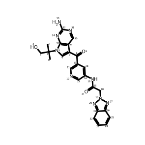 CC(C)(CO)n1cc(C(=O)c2cncc(NC(=O)Cn3nc4ccccc4n3)c2)c2cnc(N)nc21